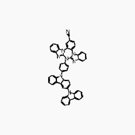 N#Cc1ccc2c(c1)n1c3ccccc3nc1n(-c1ccc(-n3c4ccccc4c4cc(-n5c6ccccc6c6ccccc65)ccc43)cc1)c1nc3ccccc3n21